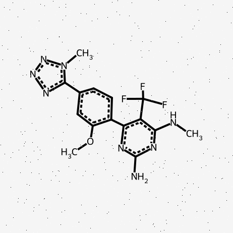 CNc1nc(N)nc(-c2ccc(-c3nnnn3C)cc2OC)c1C(F)(F)F